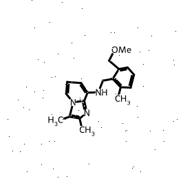 COCc1cccc(C)c1CNc1cccn2c(C)c(C)nc12